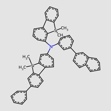 C[Si]1(C)c2cc(-c3ccccc3)ccc2-c2ccc(N(c3cccc(-c4ccc5ccccc5c4)c3)c3cccc4c3[Si](C)(C)c3ccccc3-4)cc21